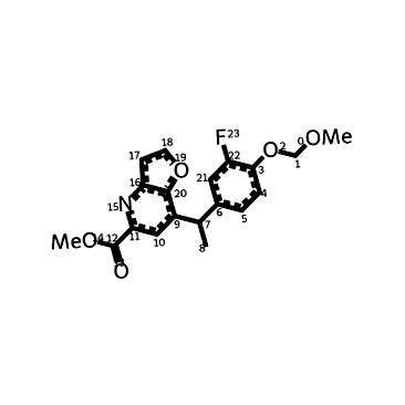 COCOc1ccc(C(C)c2cc(C(=O)OC)nc3ccoc23)cc1F